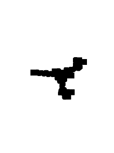 O=C(/C=C/c1ccc(O)c(O)c1)O[C@@H]1C[C@](O)(C(=O)OCCCOCCCO)C[C@@H](OC(=O)/C=C/c2ccc(O)c(O)c2)[C@H]1O